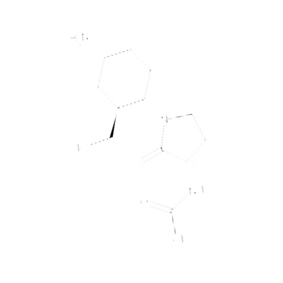 N[C@@H]1CC[C@H](N2CC[C@H](NC(=O)O)C2=O)[C@@H](CO)C1